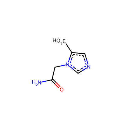 NC(=O)Cn1cncc1C(=O)O